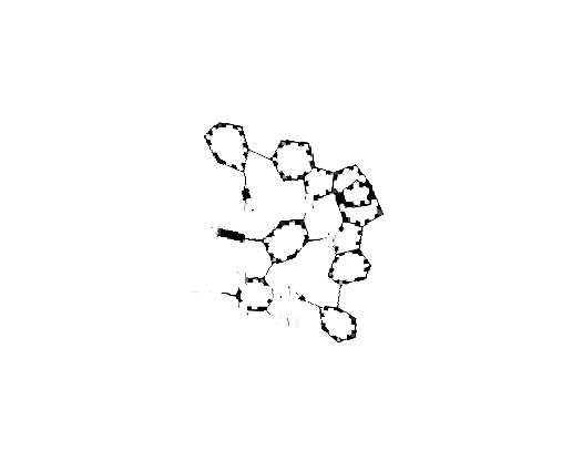 Cc1nc(C)nc(-c2cc(-n3c4ccccc4c4ccc(-c5ccccc5C#N)cc43)c(-n3c4ccccc4c4ccc(-c5ccccc5C#N)cc43)cc2C#N)n1